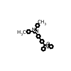 Cc1ccc(-c2cc(-c3ccc(-c4ccc(-c5c6ccccc6n6c5oc5ccccc56)cc4)cc3)nc(-c3ccc(C)cc3)n2)cc1